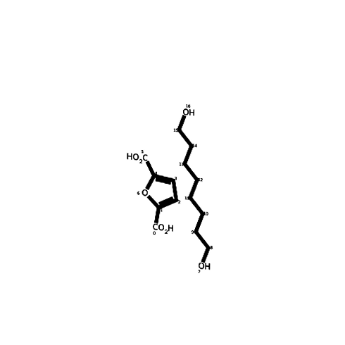 O=C(O)c1ccc(C(=O)O)o1.OCCCCCCCCO